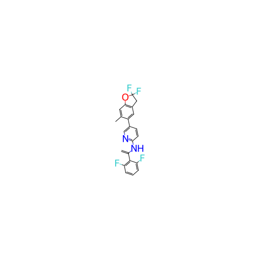 C=C(Nc1ccc(-c2cc3c(cc2C)OC(F)(F)C3)cn1)c1c(F)cccc1F